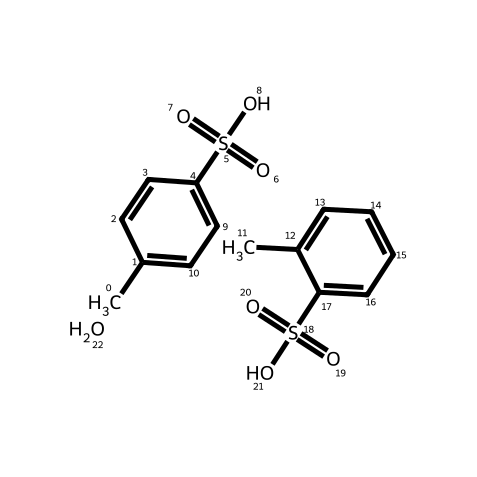 Cc1ccc(S(=O)(=O)O)cc1.Cc1ccccc1S(=O)(=O)O.O